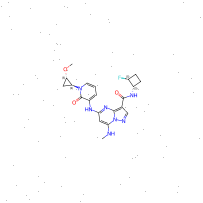 CNc1cc(Nc2cccn([C@H]3C[C@@H]3OC)c2=O)nc2c(C(=O)N[C@H]3CC[C@@H]3F)cnn12